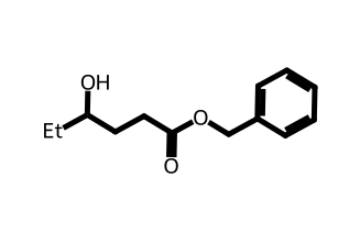 CCC(O)CCC(=O)OCc1ccccc1